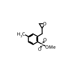 COS(=O)(=O)c1ccc(C)cc1CC1CO1